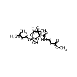 COC(=O)CCNC(=O)[C@@H]1O[PH](O)(OCCC(C)C)OCC1(C)C